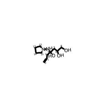 C=CCC(O)(CC(O)CO)NN1CCCC1